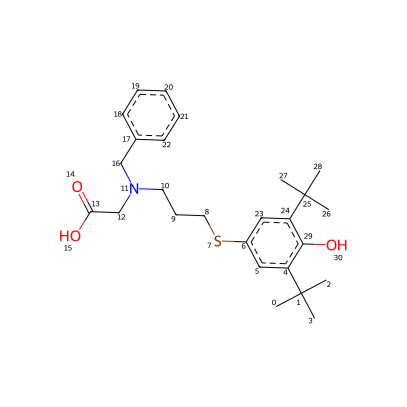 CC(C)(C)c1cc(SCCCN(CC(=O)O)Cc2ccccc2)cc(C(C)(C)C)c1O